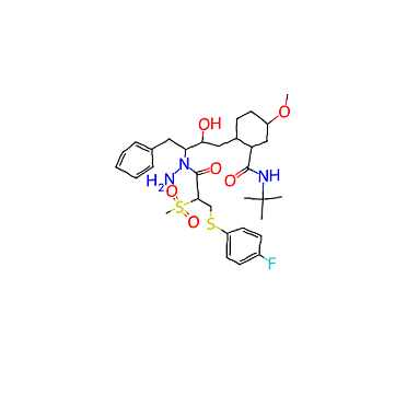 COC1CCC(CC(O)C(Cc2ccccc2)N(N)C(=O)C(CSc2ccc(F)cc2)S(C)(=O)=O)C(C(=O)NC(C)(C)C)C1